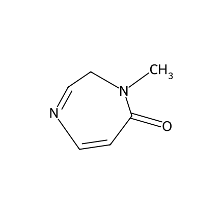 CN1CC=NC=CC1=O